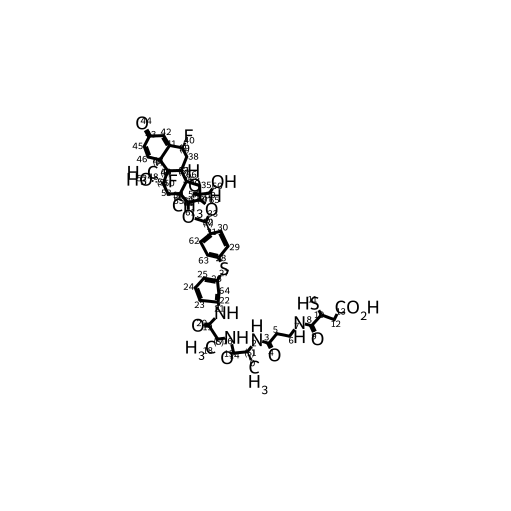 C[C@H](NC(=O)CCNC(=O)C(S)CC(=O)O)C(=O)N[C@@H](C)C(=O)Nc1cccc(Sc2ccc([C@@H]3O[C@@H]4CC5[C@@H]6C[C@H](F)C7=CC(=O)C=C[C@]7(C)[C@@]6(F)[C@@H](O)C[C@]5(C)[C@]4(C(=O)CO)O3)cc2)c1